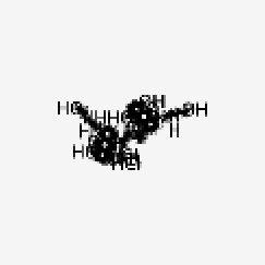 Cl.Cl.Cl.O=C1c2c(O)ccc(O)c2C(=O)c2c(N3CC3NC3CN3c3ccc(NCCNCCO)c4c3C(=O)c3c(O)ccc(O)c3C4=O)ccc(NCCNCCO)c21